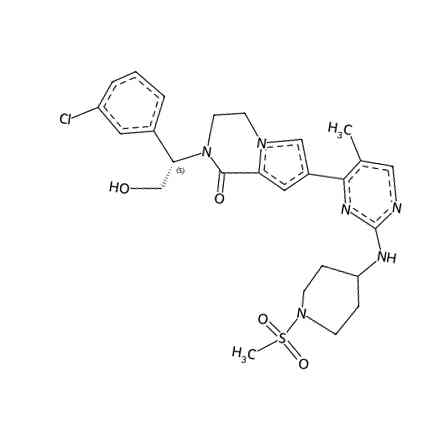 Cc1cnc(NC2CCN(S(C)(=O)=O)CC2)nc1-c1cc2n(c1)CCN([C@H](CO)c1cccc(Cl)c1)C2=O